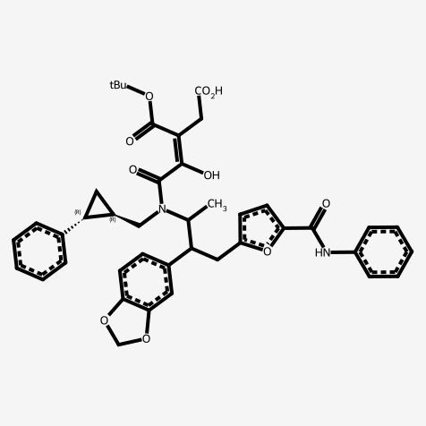 CC(C(Cc1ccc(C(=O)Nc2ccccc2)o1)c1ccc2c(c1)OCO2)N(C[C@@H]1C[C@H]1c1ccccc1)C(=O)C(O)=C(CC(=O)O)C(=O)OC(C)(C)C